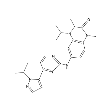 CC(C)N1c2cc(Nc3nccc(-c4ccnn4C(C)C)n3)ccc2N(C)C(=O)C1C